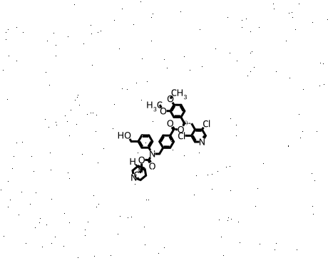 COc1ccc([C@H](Cc2c(Cl)cncc2Cl)OC(=O)c2ccc(CN(C(=O)O[C@H]3CN4CCC3CC4)c3cccc(CO)c3)cc2)cc1OC